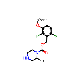 CCCCCOc1ccc(F)c(COC(=O)N2CCNCC2CC)c1F